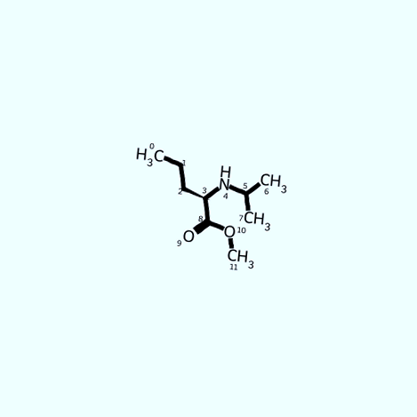 CCC[C@@H](NC(C)C)C(=O)OC